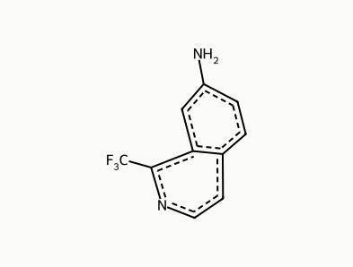 Nc1ccc2ccnc(C(F)(F)F)c2c1